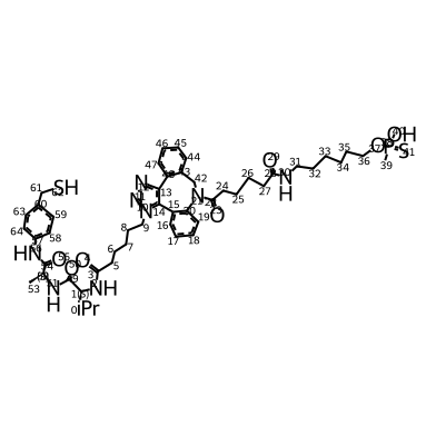 CC(C)[C@H](NC(=O)CCCCCn1nnc2c1-c1ccccc1N(C(=O)CCCCC(=O)NCCCCCCOP(C)(O)=S)Cc1ccccc1-2)C(=O)N[C@@H](C)C(=O)Nc1ccc(CS)cc1